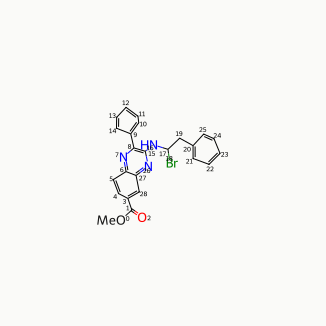 COC(=O)c1ccc2nc(-c3ccccc3)c(NC(Br)Cc3ccccc3)nc2c1